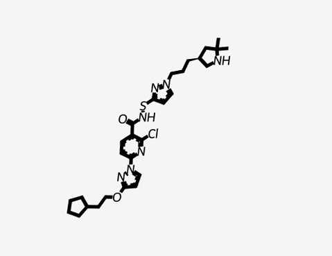 CC1(C)C[C@H](CCCn2ccc(SNC(=O)c3ccc(-n4ccc(OCCC5CCCC5)n4)nc3Cl)n2)CN1